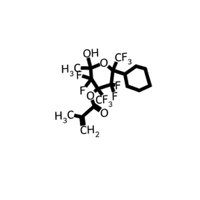 C=C(C)C(=O)OC1(C(F)(F)F)C(F)(F)C(C)(O)OC(C2CCCCC2)(C(F)(F)F)C1(F)F